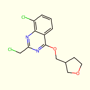 ClCc1nc(OCC2CCOC2)c2cccc(Cl)c2n1